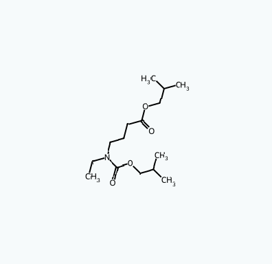 CCN(CCCC(=O)OCC(C)C)C(=O)OCC(C)C